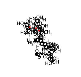 CC1OC(OC2C(C)OC(OC(=O)[C@]34CCC(C)(C)CC3C3=CCC5[C@@]6(C)CC[C@H](OC7OC(C(=O)NCCN8C(=O)C=CC8=O)C(O)C(OC8OCC(O)C(O)C8O)C7OC7OC(CO)C(O)C(O)C7O)[C@@](C)(CO)C6CC[C@@]5(C)[C@]3(C)C[C@H]4O)C(OC3OC(C)C(OC4OCC(O)C(OC5OC(CO)C(O)C(C)C5O)C4O)C(O)C3O)C2O)C(O)C(OC2CCC(O)C(O)C2O)C1O